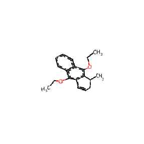 CCOc1c2c(c(OCC)c3ccccc13)C(C)CC=C2